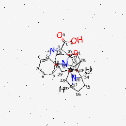 O=C(O)c1nc2ccccc2n([C@@H]2C[C@H]3CC[C@@H](C2)N3C23CC4CC(CC(C4)C2)C3)c1=O